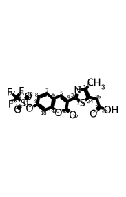 Cc1nc(-c2cc3ccc(OS(=O)(=O)C(F)(F)F)cc3oc2=O)sc1CC(=O)O